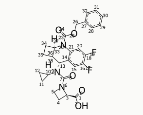 O=C(O)[C@H]1CCN1C(=O)N(C1CC1)[C@H]1c2cc(F)c(F)cc2N(C(=O)OCc2ccccc2)[C@@H]2CC[C@@H]21